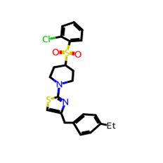 CCc1ccc(Cc2csc(N3CCC(S(=O)(=O)c4ccccc4Cl)CC3)n2)cc1